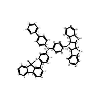 CC1(C)c2ccccc2-c2cccc(-c3ccc(N(c4ccc(-c5ccccc5)cc4)c4ccc(N5C6c7ccccc7SC6C6SC7C=CC=CC7C65)cc4)cc3)c21